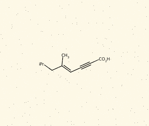 C/C(=C\C#CC(=O)O)CC(C)C